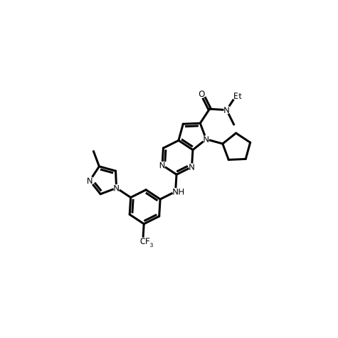 CCN(C)C(=O)c1cc2cnc(Nc3cc(-n4cnc(C)c4)cc(C(F)(F)F)c3)nc2n1C1CCCC1